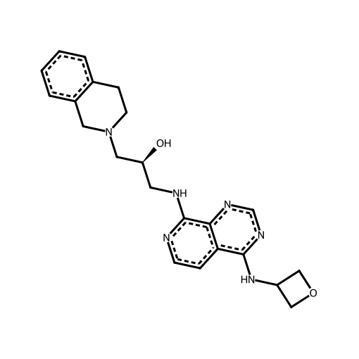 O[C@@H](CNc1nccc2c(NC3COC3)ncnc12)CN1CCc2ccccc2C1